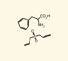 C=CCS(=O)(=O)CC=C.NC(Cc1ccccc1)C(=O)O